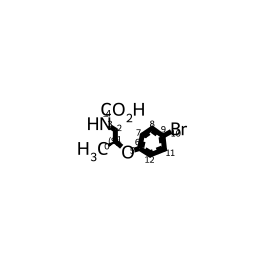 C[C@@H](CNC(=O)O)Oc1ccc(Br)cc1